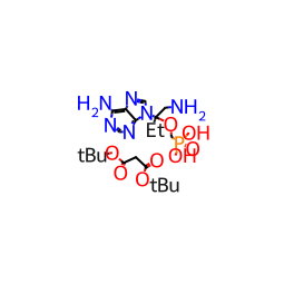 CC(C)(C)OC(=O)CC(=O)OC(C)(C)C.CCC(CN)(OCP(=O)(O)O)n1cnc2c(N)ncnc21